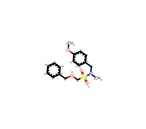 COc1ccc(CN(C)S(=O)(=O)COCc2ccccc2)cc1